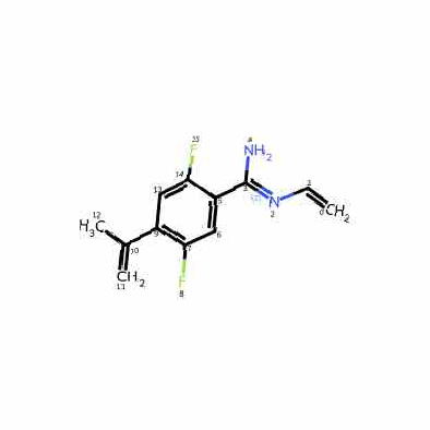 C=C/N=C(\N)c1cc(F)c(C(=C)C)cc1F